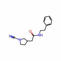 N#CN1CCC(CC(=O)NCCc2ccccc2)C1